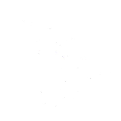 CC(C)(C)c1cc2oc3c(c2c(/C=N/NC(=O)c2ccc(O)cc2O)c1O)CCCC3